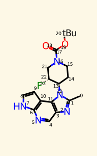 Cc1nc2cnc3[nH]ccc3c2n1[C@@H]1CCN(C(=O)OC(C)(C)C)C[C@H]1F